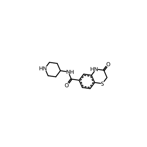 O=C1CSc2ccc(C(=O)NC3CCNCC3)cc2N1